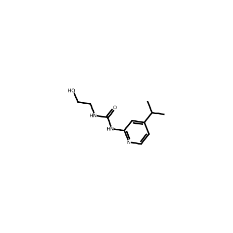 CC(C)c1ccnc(NC(=O)NCCO)c1